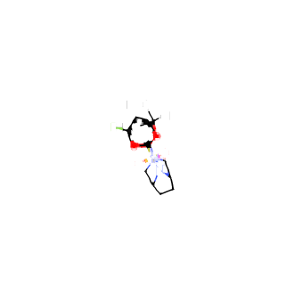 CC(C)(C)OC(=O)N1CC2CCC(C1)N2S(=O)(=O)c1cccc(F)c1